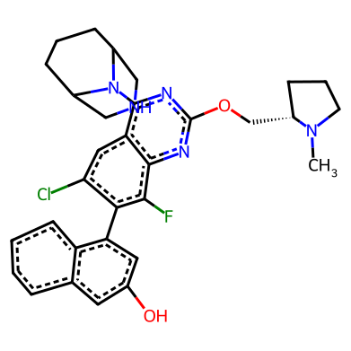 CN1CCC[C@H]1COc1nc(N2C3CCCC2CNC3)c2cc(Cl)c(-c3cc(O)cc4ccccc34)c(F)c2n1